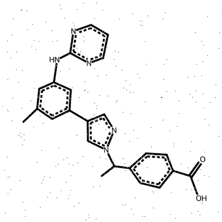 Cc1cc(Nc2ncccn2)cc(-c2cnn(C(C)c3ccc(C(=O)O)cc3)c2)c1